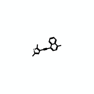 Cc1cc(C#Cc2ccc(C)c3ccccc23)c(C)s1